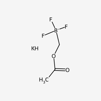 CC(=O)OC[B-](F)(F)F.[KH]